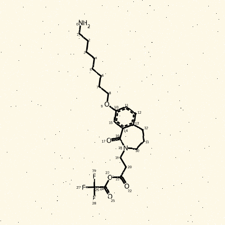 NCCCCCCCCOc1ccc2c(c1)C(=O)N(CCC(=O)OC(=O)C(F)(F)F)CCC2